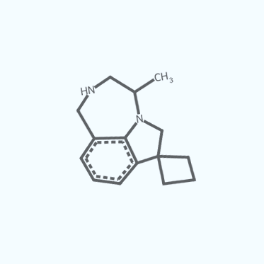 CC1CNCc2cccc3c2N1CC31CCC1